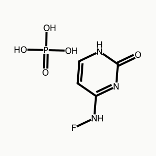 O=P(O)(O)O.O=c1nc(NF)cc[nH]1